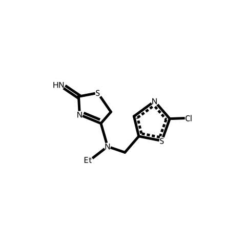 CCN(Cc1cnc(Cl)s1)C1=NC(=N)SC1